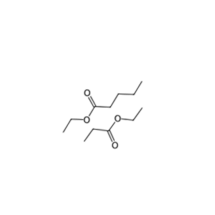 CCCCC(=O)OCC.CCOC(=O)CC